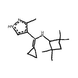 Cc1n[nH]cc1C(NC1C(C)(C)CC1(C)C)=C1CC1